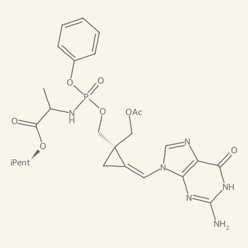 CCC[C@H](C)OC(=O)C(C)NP(=O)(OC[C@@]1(COC(C)=O)C/C1=C/n1cnc2c(=O)[nH]c(N)nc21)Oc1ccccc1